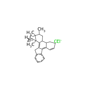 CC1CC2C(=C3Cc4ccccc4C3=C3C=CCCC32)[C](C)([Zr+2])C1(C)C.[Cl-].[Cl-]